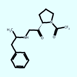 CC(Cc1ccccc1)NCC(=O)[C@@H]1CCCN1C(=O)C(F)(F)F